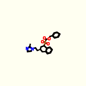 Cc1nccn1CC[C@@H]1Cc2ccccc2C(S(=O)(=O)C(=O)OCc2ccccc2)C1